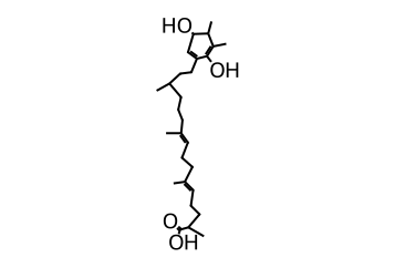 CC1=C(O)C(CCC(C)CCC/C(C)=C/CC/C(C)=C/CCC(C)C(=O)O)=CC(O)C1C